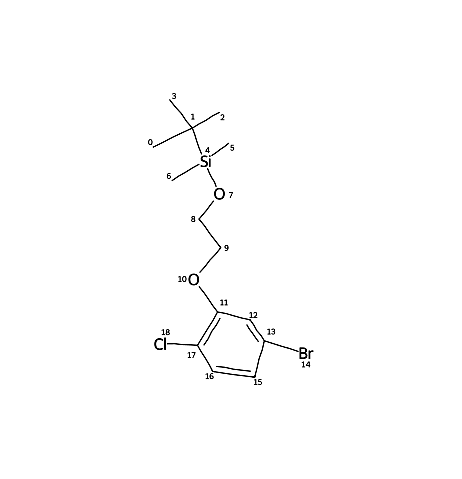 CC(C)(C)[Si](C)(C)OCCOc1cc(Br)ccc1Cl